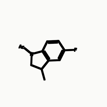 CC(=O)N1CC(C)c2cc(F)ccc21